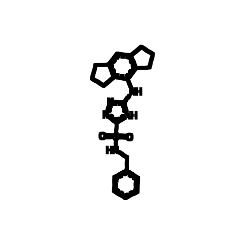 O=S(=O)(NCc1ccccc1)c1nnc(Nc2c3c(cc4c2CCC4)CCC3)[nH]1